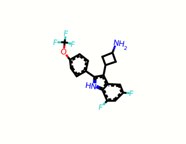 NC1CC(c2c(-c3ccc(OC(F)(F)F)cc3)[nH]c3c(F)cc(F)cc23)C1